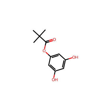 CC(C)(C)C(=O)Oc1cc(O)cc(O)c1